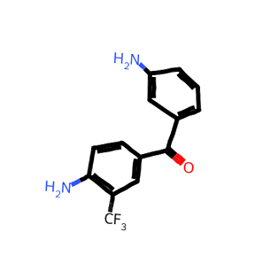 Nc1cccc(C(=O)c2ccc(N)c(C(F)(F)F)c2)c1